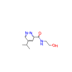 CC(C)c1cnnc(C(=O)NCCO)c1